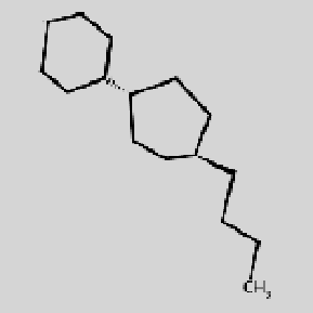 CCCC[C@H]1CC[C@H](C2CC[CH]CC2)CC1